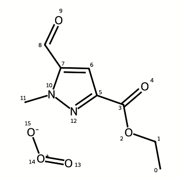 CCOC(=O)c1cc(C=O)n(C)n1.O=[O+][O-]